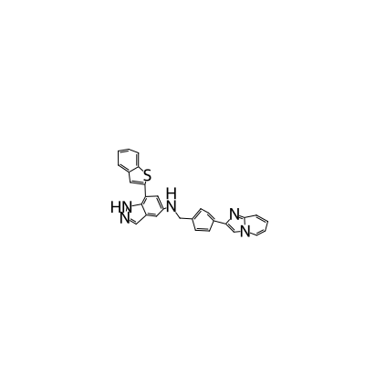 c1ccc2sc(-c3cc(NCc4ccc(-c5cn6ccccc6n5)cc4)cc4cn[nH]c34)cc2c1